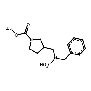 CC(C)(C)OC(=O)N1CCC(CN(Cc2ccccc2)C(=O)O)C1